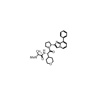 CN[C@@H](C)C(=O)N[C@H](C(=O)N1CCC[C@H]1c1cn2cccc(-c3ccccc3)c2n1)C1CCOCC1